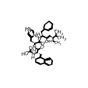 C=C[C@@H](C[C@@H](O)[C@H](CC1CCCCC1)NC(=O)[C@H](Cc1c[nH]cn1)NC(=O)[C@H](Cc1cccc2ccccc12)NC(=O)O)C(C)C